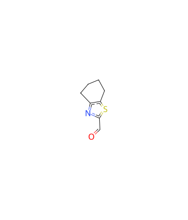 O=Cc1nc2c(s1)CCCC2